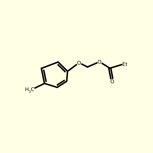 CCC(=O)OCOc1ccc(C)cc1